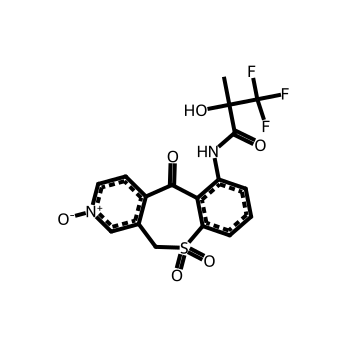 CC(O)(C(=O)Nc1cccc2c1C(=O)c1cc[n+]([O-])cc1CS2(=O)=O)C(F)(F)F